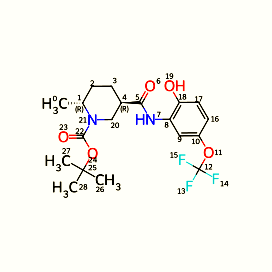 C[C@@H]1CC[C@@H](C(=O)Nc2cc(OC(F)(F)F)ccc2O)CN1C(=O)OC(C)(C)C